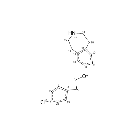 Clc1ccc(CCOc2ccc3c(c2)CCNCC3)cc1